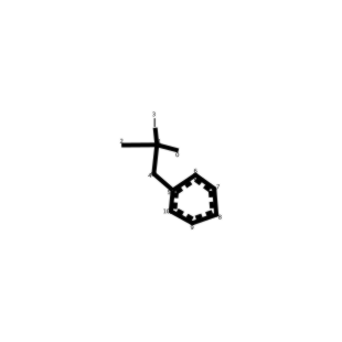 CC(C)(I)Cc1ccccc1